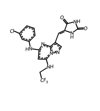 O=C1NC(=O)C(=Cc2cnn3c(NCC(F)(F)F)cc(Nc4cccc(Cl)c4)nc23)N1